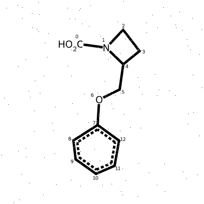 O=C(O)N1CCC1COc1ccccc1